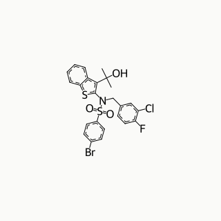 CC(C)(O)c1c(N(Cc2ccc(F)c(Cl)c2)S(=O)(=O)c2ccc(Br)cc2)sc2ccccc12